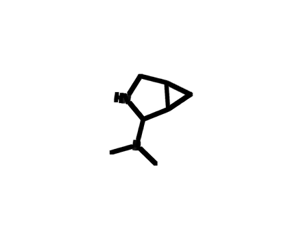 CB(C)C1NCC2CC21